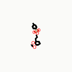 Cc1ccc(S(=O)(=O)OCCCc2cccc3c2OC=CO3)cc1